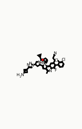 Cc1nc2c(F)c(-c3cccc(Cl)c3Cl)c(CCC#N)cc2c2c1cc(C1CC(n3cc(C45CC(N)(C4)C5)nn3)CN1C(=O)C1CC1)n2C1C2CNC1C2